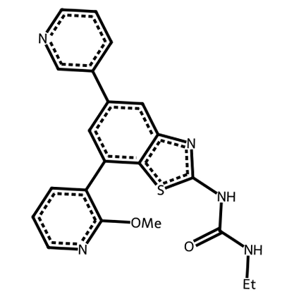 CCNC(=O)Nc1nc2cc(-c3cccnc3)cc(-c3cccnc3OC)c2s1